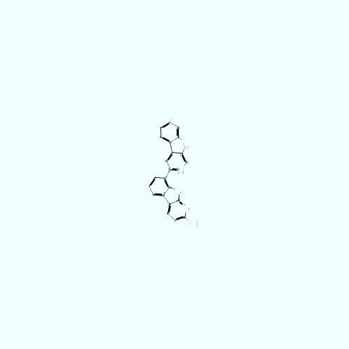 Cc1ccc2c(n1)oc1c(-c3cc4c(cn3)oc3ccccc34)cccc12